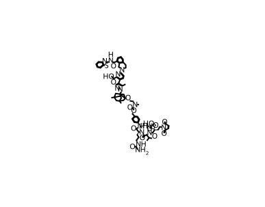 Cc1c(-c2ccc(N3CCc4cccc(C(=O)Nc5nc6ccccc6s5)c4C3)nc2C(=O)O)cnn1CC12CC3(C)CC(C)(C1)CC(OCCN(C)C(=O)OCc1ccc(NC(=O)[C@H](CCCNC(N)=O)NC(=O)C(NC(=O)[C@H](CCN4C(=O)C=CC4=O)S(=O)(=O)O)C(C)C)cc1)(C3)C2